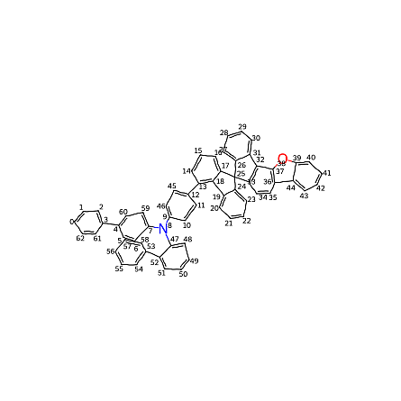 c1ccc(-c2ccc(N(c3ccc(-c4cccc5c4-c4ccccc4C54c5ccccc5-c5c4ccc4c5oc5ccccc54)cc3)c3ccccc3-c3ccccc3)cc2)cc1